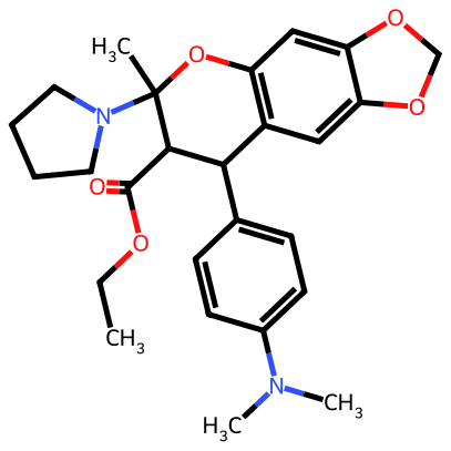 CCOC(=O)C1C(c2ccc(N(C)C)cc2)c2cc3c(cc2OC1(C)N1CCCC1)OCO3